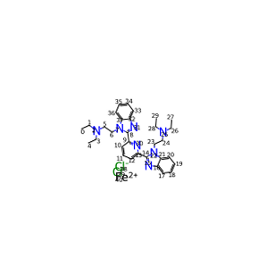 CCN(CC)CCn1c(-c2cccc(-c3nc4ccccc4n3CCN(CC)CC)n2)nc2ccccc21.[Cl-].[Cl-].[Fe+2]